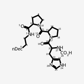 CCCCCCCCCCCCNC(=O)C1CCCN1C(=O)C1CCCN1C(=O)C(Cc1c[nH]cn1)NC(=O)O